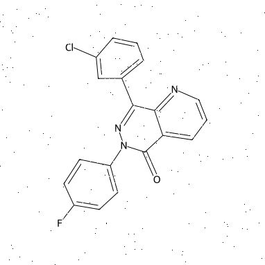 O=c1c2cccnc2c(-c2cccc(Cl)c2)nn1-c1ccc(F)cc1